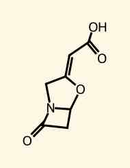 O=C(O)C=C1CN2C(=O)CC2O1